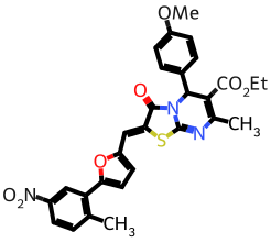 CCOC(=O)C1=C(C)N=c2s/c(=C\c3ccc(-c4cc([N+](=O)[O-])ccc4C)o3)c(=O)n2C1c1ccc(OC)cc1